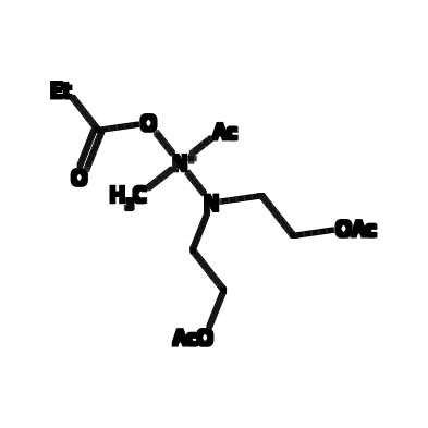 CCC(=O)O[N+](C)(C(C)=O)N(CCOC(C)=O)CCOC(C)=O